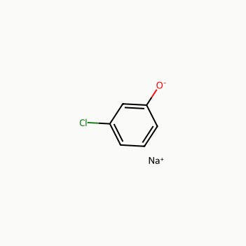 [Na+].[O-]c1cccc(Cl)c1